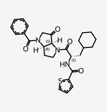 O=C(N[C@@H](CC1CCCCC1)C(=O)N1CC[C@@H]2[C@H]1C(=O)CN2C(=O)c1ccccc1)c1cccs1